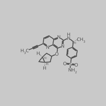 CC#Cc1ccc2nc(N[C@H](C)c3ccc(S(N)(=O)=O)cc3)nc(OC3C[C@@H]4C[C@@H]4C3)c2n1